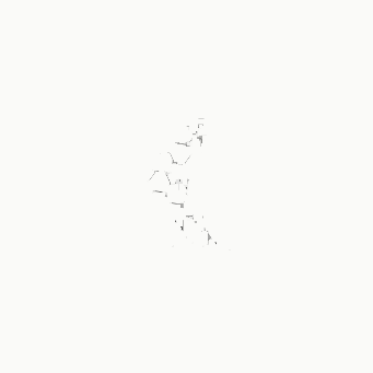 CCN1CC([C@@H](C)NC(=O)c2cnc3c(-c4ccc(C(F)(F)F)cc4)cccc3c2)C1